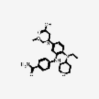 CCN(c1ccc([C@@H](COC)CC(=O)O)cc1Nc1ccc(C(N)=O)cc1)C1CCOCC1